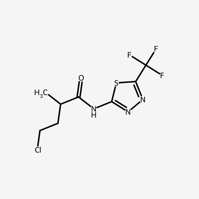 CC(CCCl)C(=O)Nc1nnc(C(F)(F)F)s1